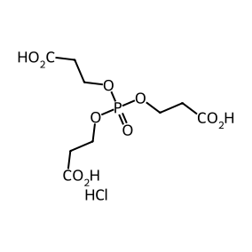 Cl.O=C(O)CCOP(=O)(OCCC(=O)O)OCCC(=O)O